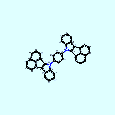 c1cc2c3c(cccc3c1)-c1c-2c2ccccc2n1-c1ccc(-n2c3c(c4ccccc42)-c2cccc4cccc-3c24)cc1